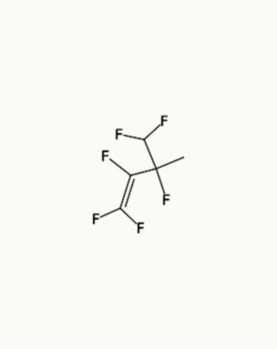 CC(F)(C(F)=C(F)F)C(F)F